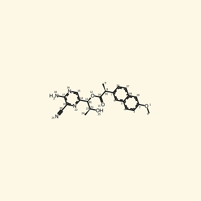 COc1ccc2cc([C@H](C)C(=O)O[C@H](c3cnc(N)c(C#N)n3)[C@H](C)O)ccc2c1